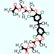 C=C(C)C(=O)OC(C)OC(C)OC(C)Oc1c(Cl)cc(C(C)(C)c2cc(Cl)c(OC(C)OC(C)OC(C)OC(=O)C(=C)C)c(Cl)c2)cc1Cl